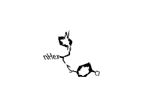 CCCCCCC(Cn1ccnc1)Sc1ccc(Cl)cc1